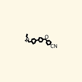 C=CCN(C)Cc1ccc(-c2ccc(C(=O)c3ccc(C#N)cc3)cc2)cc1